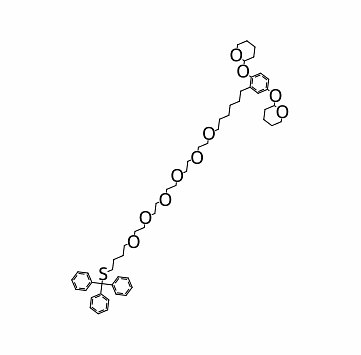 c1ccc(C(SCCCCOCCOCCOCCOCCOCCOCCCCCCc2cc(OC3CCCCO3)ccc2OC2CCCCO2)(c2ccccc2)c2ccccc2)cc1